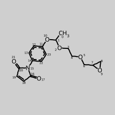 CC(OCCOCC1CO1)Oc1ccc(N2C(=O)C=CC2=O)cc1